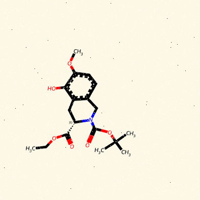 CCOC(=O)[C@@H]1Cc2c(ccc(OC)c2O)CN1C(=O)OC(C)(C)C